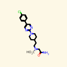 NC(=O)CN(CCC1CCN(c2ncc(-c3ccc(Cl)cc3)cn2)CC1)C(=O)O